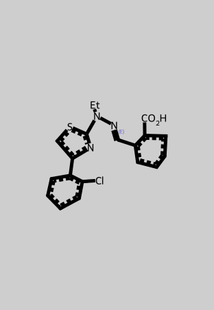 CCN(/N=C/c1ccccc1C(=O)O)c1nc(-c2ccccc2Cl)cs1